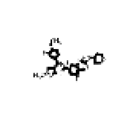 COc1ccc([C@H](NC(=O)c2cc(F)c3cnc(NC4CCOCC4)nc3c2)c2cnn(C)c2)cc1F